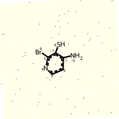 Nc1ccnc(Br)c1S